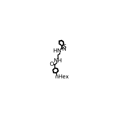 CCCCCCc1ccc(C(=O)CNCCCNc2nsc3ccccc23)cc1